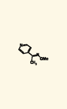 CON=C(C)c1ccncc1